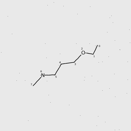 CCOCCC[N]C